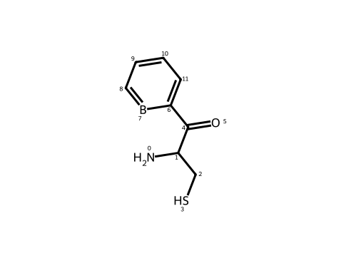 NC(CS)C(=O)c1bcccc1